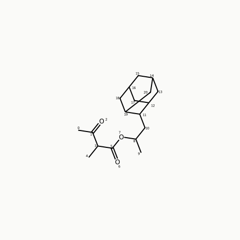 CC(=O)C(C)C(=O)OC(C)CC1C2CC3CC(C2)CC1C3